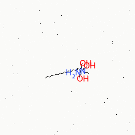 CCCCCCCCCCCCCCCCC(CCO)C(N)(CCO)N(CCC)CCO